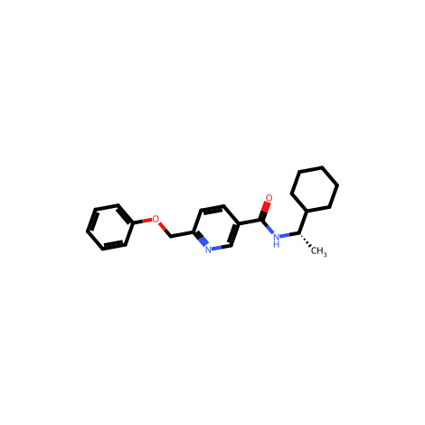 C[C@H](NC(=O)c1ccc(COc2ccccc2)nc1)C1CCCCC1